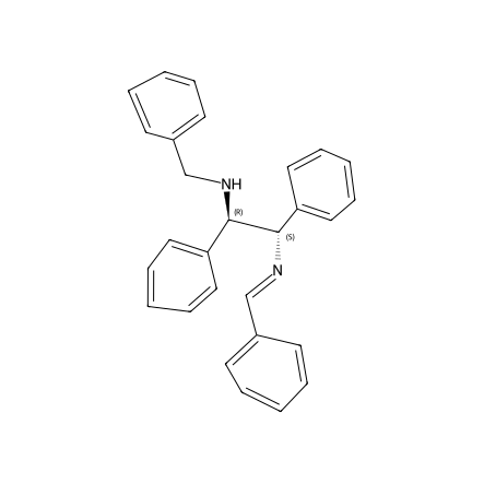 C(=N[C@@H](c1ccccc1)[C@H](NCc1ccccc1)c1ccccc1)c1ccccc1